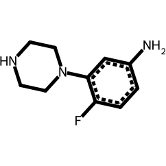 Nc1ccc(F)c(N2CCNCC2)c1